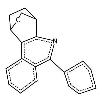 c1ccc(-c2nc3c(c4ccccc24)C2CCC3CC2)cc1